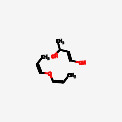 C/C=C\O/C=C\C.CC(O)/C=C/O